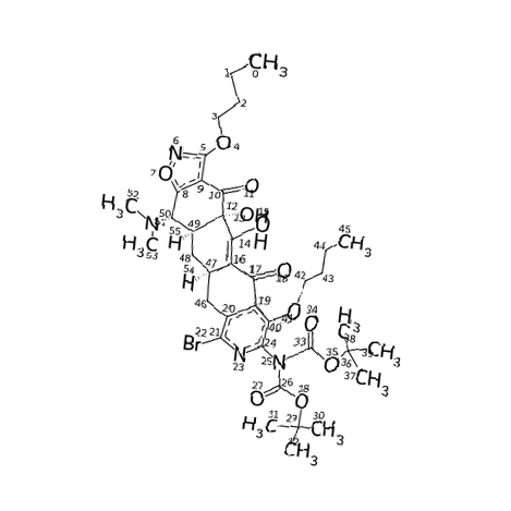 CCCCOc1noc2c1C(=O)[C@@]1(O)C(O)=C3C(=O)c4c(c(Br)nc(N(C(=O)OC(C)(C)C)C(=O)OC(C)(C)C)c4OCCCC)C[C@H]3C[C@H]1[C@@H]2N(C)C